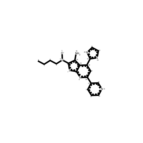 CCCC[S+]([O-])c1sc2nc(-c3cccnc3)cc(-c3nccs3)c2c1N